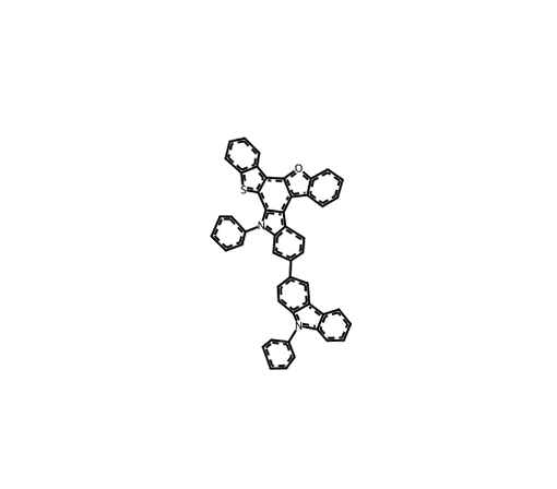 c1ccc(-n2c3ccccc3c3cc(-c4ccc5c6c7c8ccccc8oc7c7c8ccccc8sc7c6n(-c6ccccc6)c5c4)ccc32)cc1